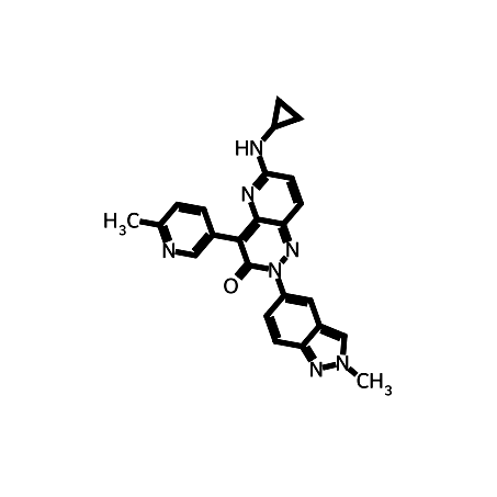 Cc1ccc(-c2c(=O)n(-c3ccc4nn(C)cc4c3)nc3ccc(NC4CC4)nc23)cn1